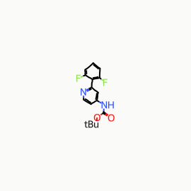 CC(C)(C)OC(=O)Nc1ccnc(-c2c(F)cccc2F)c1